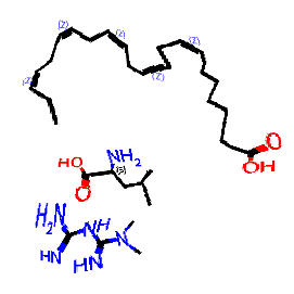 CC(C)C[C@H](N)C(=O)O.CC/C=C\C/C=C\C/C=C\C/C=C\C/C=C\CCCCCC(=O)O.CN(C)C(=N)NC(=N)N